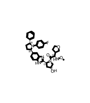 CON[C@H](C(=O)N1C[C@H](O)C[C@H]1c1nc2cc([C@H]3CC[C@H](c4cc#ccc4)N3c3ccc(F)cc3)ccc2[nH]1)C1CCOC1